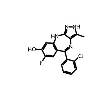 Cc1[nH]nc2c1N=C(c1ccccc1Cl)c1cc(F)c(O)cc1N2